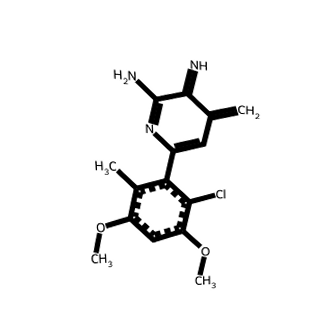 C=C1C=C(c2c(C)c(OC)cc(OC)c2Cl)N=C(N)C1=N